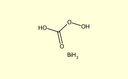 O=C(O)OO.[BiH3]